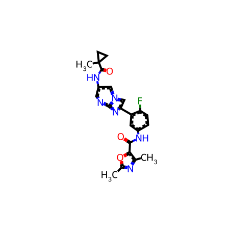 Cc1nc(C)c(C(=O)Nc2ccc(F)c(-c3cn4cc(NC(=O)C5(C)CC5)cnc4n3)c2)o1